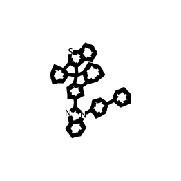 c1ccc(-c2ccc(-n3c(-c4ccc5c(c4)-c4ccccc4C54c5ccccc5-c5sc6ccccc6c54)nc4ccccc43)cc2)cc1